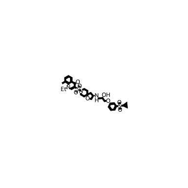 CCn1cc(S(=O)(=O)N2CCC3(CC2)C[C@@H](NC[C@H](O)COc2cccc(S(=O)(=O)C4CC4)c2)CO3)c(=O)c2cccc(C)c21